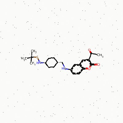 CC(=O)c1cc2cc(NC[C@H]3CC[C@H](NSC(C)(C)C)CC3)ccc2oc1=O